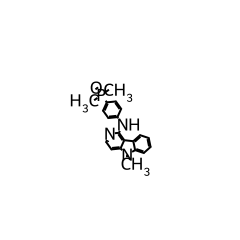 Cn1c2ccccc2c2c(Nc3ccc(P(C)(C)=O)cc3)nccc21